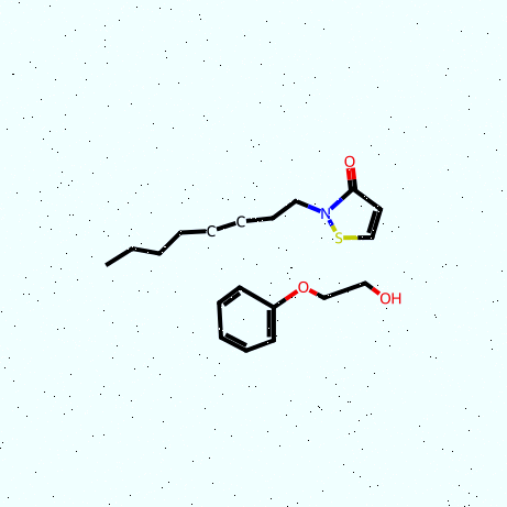 CCCCCCCCn1sccc1=O.OCCOc1ccccc1